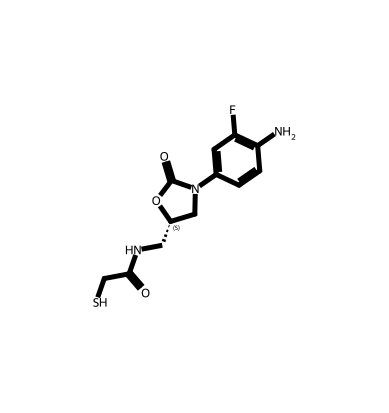 Nc1ccc(N2C[C@H](CNC(=O)CS)OC2=O)cc1F